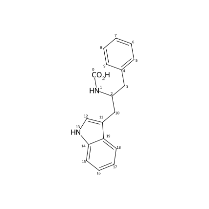 O=C(O)NC(Cc1ccccc1)Cc1c[nH]c2ccccc12